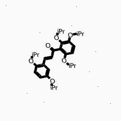 CC(C)Oc1ccc(OC(C)C)c(C=CC(=O)c2c(OC(C)C)ccc(OC(C)C)c2OC(C)C)c1